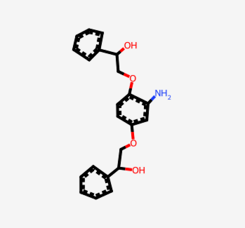 Nc1cc(OCC(O)c2ccccc2)ccc1OCC(O)c1ccccc1